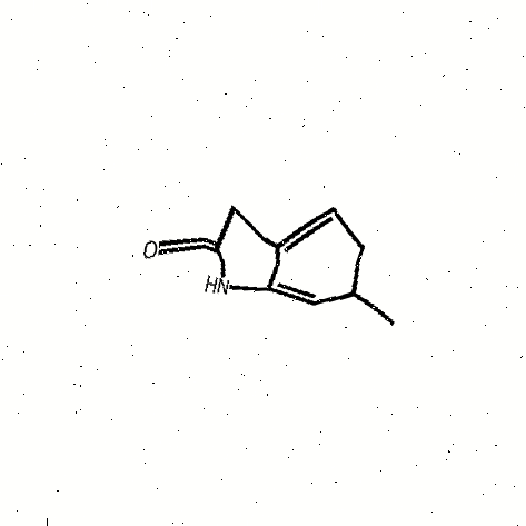 CC1C=C2NC(=O)CC2=CC1